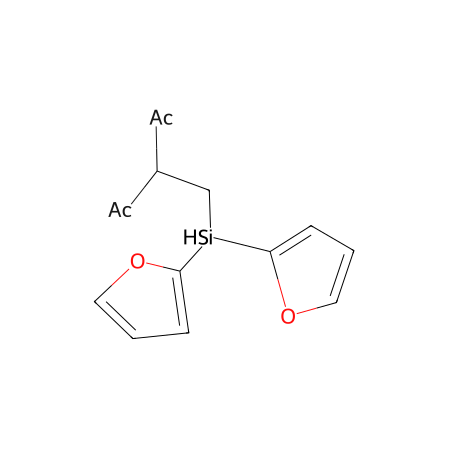 CC(=O)C(C[SiH](c1ccco1)c1ccco1)C(C)=O